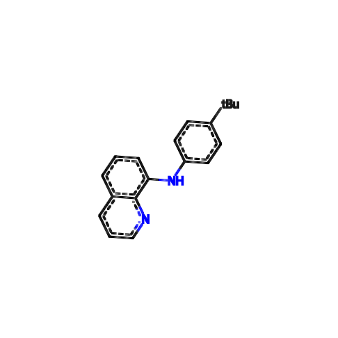 CC(C)(C)c1ccc(Nc2cccc3cccnc23)cc1